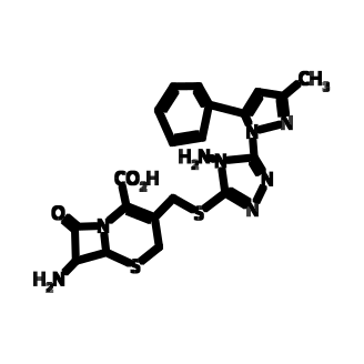 Cc1cc(-c2ccccc2)n(-c2nnc(SCC3=C(C(=O)O)N4C(=O)C(N)C4SC3)n2N)n1